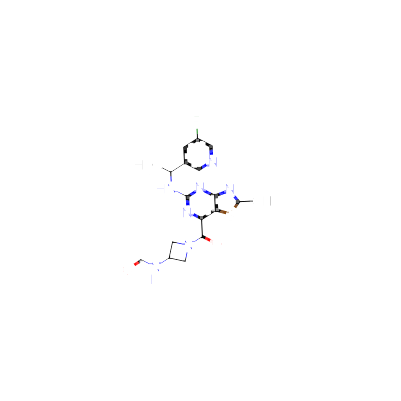 Cc1nc2nc(NC(C)c3cncc(F)c3)nc(C(=O)N3CC(NC=O)C3)c2s1